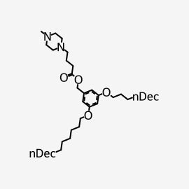 CCCCCCCCCCCCCCCCOc1cc(COC(=O)CCCN2CCN(C)CC2)cc(OCCCCCCCCCCCCC)c1